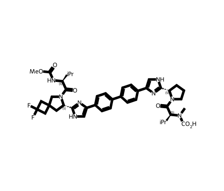 COC(=O)N[C@H](C(=O)N1CC2(C[C@H]1c1nc(-c3ccc(-c4ccc(-c5c[nH]c([C@@H]6CCCN6C(=O)[C@H](C(C)C)N(C)C(=O)O)n5)cc4)cc3)c[nH]1)CC(F)(F)C2)C(C)C